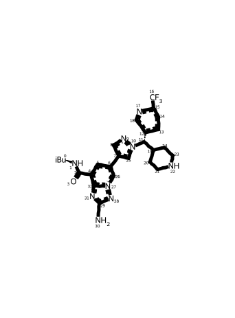 CC[C@H](C)NC(=O)c1cc(-c2cnn([C@H](c3ccc(C(F)(F)F)nc3)C3CCNCC3)c2)cn2nc(N)nc12